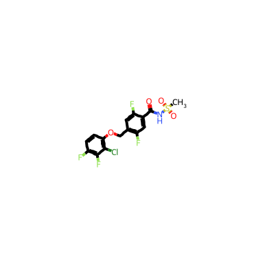 CS(=O)(=O)NC(=O)c1cc(F)c(COc2ccc(F)c(F)c2Cl)cc1F